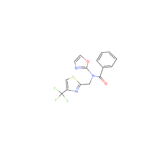 O=C(c1ccccc1)N(Cc1nc(C(F)(F)F)cs1)c1ncco1